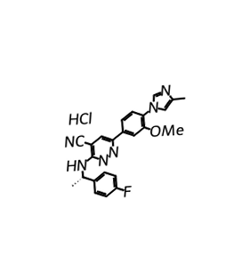 COc1cc(-c2cc(C#N)c(N[C@@H](C)c3ccc(F)cc3)nn2)ccc1-n1cnc(C)c1.Cl